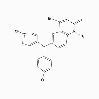 Cn1c(=O)cc(Br)c2cc(C(c3ccc(Cl)cc3)c3ccc(Cl)cc3)ccc21